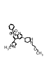 CCOCCN[C@H]1CC[C@@H](c2cnc3c(c2)c(-c2cnn(C)c2)cn3S(=O)(=O)c2ccccc2)CC1